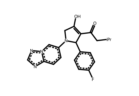 CC(C)CC(=O)C1=C(O)CN(c2ccc3ncnn3c2)C1c1ccc(F)cc1